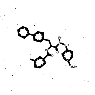 CCN(Nc1ccc(OC)cc1)C(=O)C(Cc1ccc(-c2ccccc2)cc1)NC(=O)c1cccc(C)c1